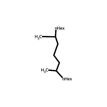 [CH2]CCCCCC(C)CCCC(C)CCCCCC